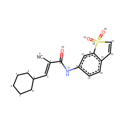 N#CC(=CC1CCCCC1)C(=O)Nc1ccc2c(c1)S(=O)(=O)C=C2